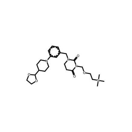 C[Si](C)(C)CCOCN1C(=O)CCN(Cc2cccc(N3CCC(C4OCCO4)CC3)c2)C1=O